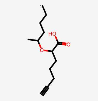 C#CCCCC(OC(C)CCC[CH2])C(=O)O